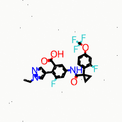 CCn1cc(-c2c(F)cc(NC(=O)C3(c4ccc(OC(F)(F)F)cc4F)CC3)cc2C(=O)O)cn1